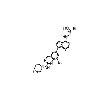 CCc1cc(-c2ccc3c(NC[C@H](O)CC)ncnn23)cc2cnc(N[C@H]3CCCNC3)nc12